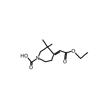 CCOC(=O)C=C1CCN(C(=O)O)CC1(C)C